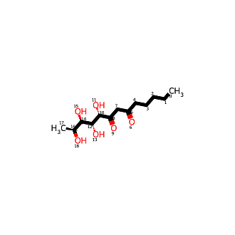 CCCCCC(=O)CC(=O)[C@@H](O)[C@H](O)[C@H](O)[C@H](C)O